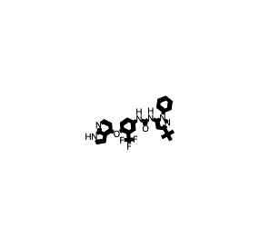 CC(C)(C)c1cc(NC(=O)Nc2ccc(Oc3ccnc4[nH]ccc34)c(C(F)(F)F)c2)n(-c2ccccc2)n1